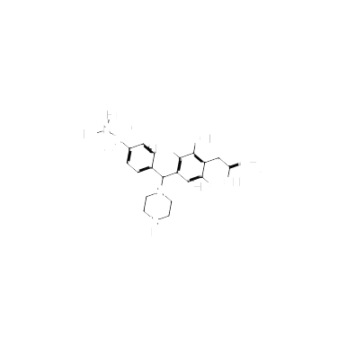 C=C(C)Cc1c(C)cc(C(c2ccc(S(=O)(=O)N(CC)CC)cc2)N2CCNCC2)c(C)c1O